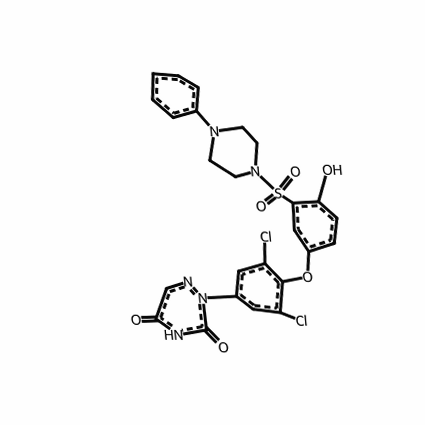 O=c1cnn(-c2cc(Cl)c(Oc3ccc(O)c(S(=O)(=O)N4CCN(c5ccccc5)CC4)c3)c(Cl)c2)c(=O)[nH]1